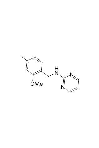 COc1cc(C)ccc1CNc1ncccn1